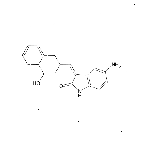 Nc1ccc2c(c1)C(=CC1Cc3ccccc3C(O)C1)C(=O)N2